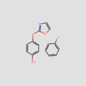 Clc1ccccc1.Oc1ccc(Oc2ncco2)cc1